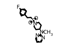 CN(c1ncccn1)C1CCN(S(=O)(=O)CCc2ccc(F)cc2)CC1